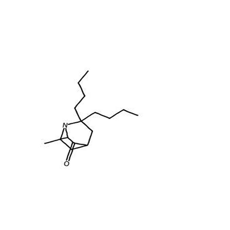 CCCCC1(CCCC)CC2CCN1C(C)C2=O